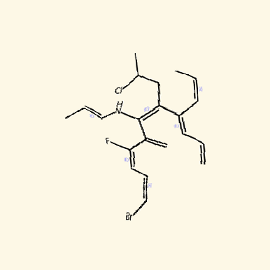 C=C/C=C(\C=C/C)C(/CC(C)Cl)=C(/N/C=C/C)C(=C)/C(F)=C\C=C/Br